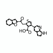 O=C(Cc1scc(-c2cnc3[nH]ccc3c2)c1C(=O)O)c1cc2ccccc2o1